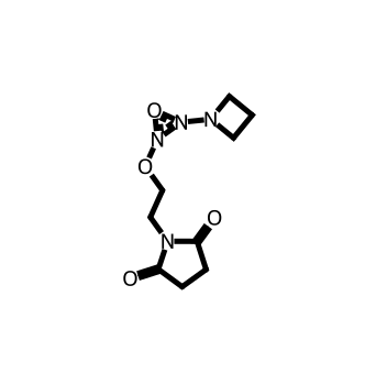 O=C1CCC(=O)N1CCOn1on1N1CCC1